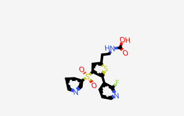 O=C(O)NCCc1cc(S(=O)(=O)c2cccnc2)c(-c2cccnc2F)s1